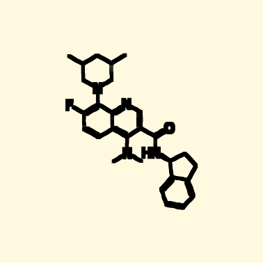 CC1CC(C)CN(c2c(F)ccc3c(N(C)C)c(C(=O)N[C@H]4CCc5ccccc54)cnc23)C1